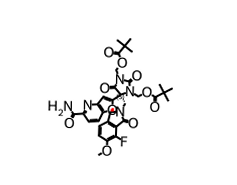 COc1ccc2c(c1F)C(=O)N(C[C@]1(c3cc4nc(C(N)=O)ccc4o3)C(=O)N(COC(=O)C(C)(C)C)C(=O)N1COC(=O)C(C)(C)C)C2